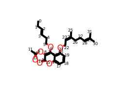 CCC=CCCOc1c(OC(C)=O)c(=O)oc2cccc(OCC=C(C)CCC=C(C)C)c12